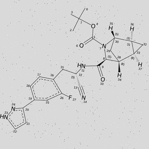 CC(C)(C)OC(=O)N1[C@H](C(=O)N[C@H](C#N)Cc2ccc(-c3cc[nH]n3)cc2F)[C@@H]2C[C@H]1[C@H]1C[C@@H]21